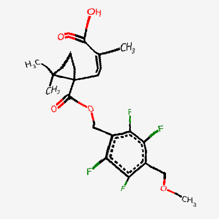 COCc1c(F)c(F)c(COC(=O)C2(C=C(C)C(=O)O)CC2(C)C)c(F)c1F